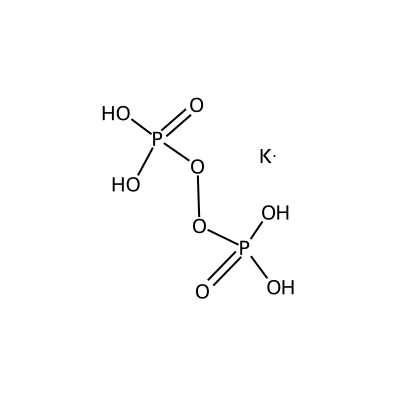 O=P(O)(O)OOP(=O)(O)O.[K]